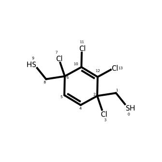 SCC1(Cl)C=CC(Cl)(CS)C(Cl)=C1Cl